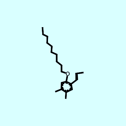 C/C=C/c1cc(C)c(C)cc1OCCCCCCCCCC